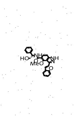 COc1c(C(=O)N[C@H](CO)c2ccccc2)ccc2[nH]nc(-c3cc4ccccc4o3)c12